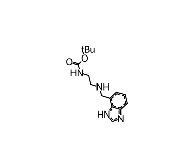 CC(C)(C)OC(=O)NCCNCc1cccc2nc[nH]c12